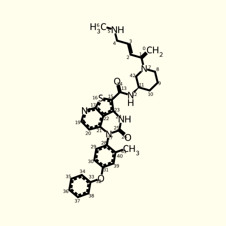 C=C(/C=C/CNC)N1CCC[C@@H](NC(=O)c2sc3nccc4c3c2NC(=O)N4c2ccc(Oc3ccccc3)cc2C)C1